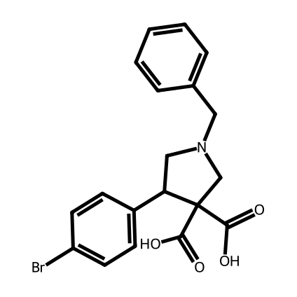 O=C(O)C1(C(=O)O)CN(Cc2ccccc2)CC1c1ccc(Br)cc1